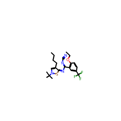 CCCCc1cn(C(C)(C)C)sc1=NC(=NC#N)c1cc(C(F)(F)F)ccc1OCC